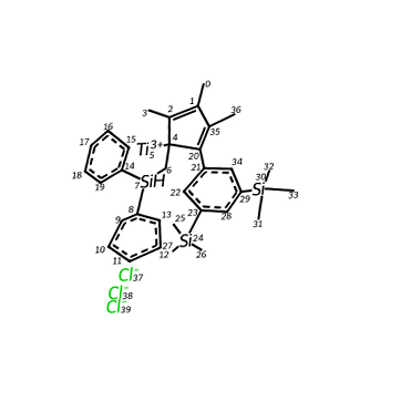 CC1=C(C)[C]([Ti+3])(C[SiH](c2ccccc2)c2ccccc2)C(c2cc([Si](C)(C)C)cc([Si](C)(C)C)c2)=C1C.[Cl-].[Cl-].[Cl-]